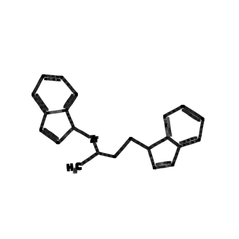 C[CH](CCC1C=Cc2ccccc21)[Zr][CH]1C=Cc2ccccc21